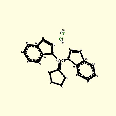 C1=C[CH]([Zr+2](=[C]2CCCC2)[CH]2C=Cc3ccccc32)c2ccccc21.[Cl-].[Cl-]